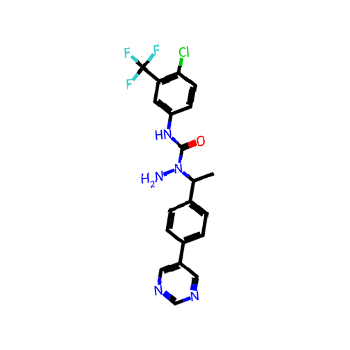 CC(c1ccc(-c2cncnc2)cc1)N(N)C(=O)Nc1ccc(Cl)c(C(F)(F)F)c1